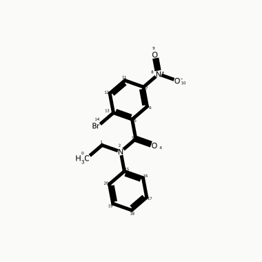 CCN(C(=O)c1cc([N+](=O)[O-])ccc1Br)c1ccccc1